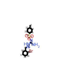 Cc1ccc(S(=O)(=O)ON=C(N)NN=Cc2ccccc2Br)cc1